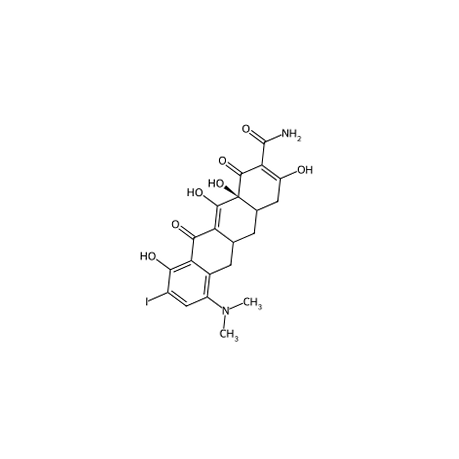 CN(C)c1cc(I)c(O)c2c1CC1CC3CC(O)=C(C(N)=O)C(=O)[C@@]3(O)C(O)=C1C2=O